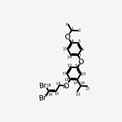 CC(C)Oc1ccc(Oc2ccc(OCC=C(Br)Br)c(C(C)C)c2)cc1